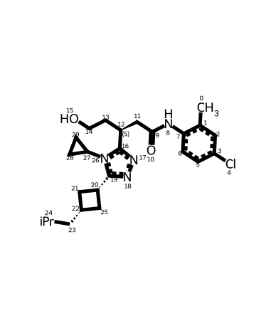 Cc1cc(Cl)ccc1NC(=O)C[C@H](CCO)c1nnc([C@H]2C[C@@H](CC(C)C)C2)n1C1CC1